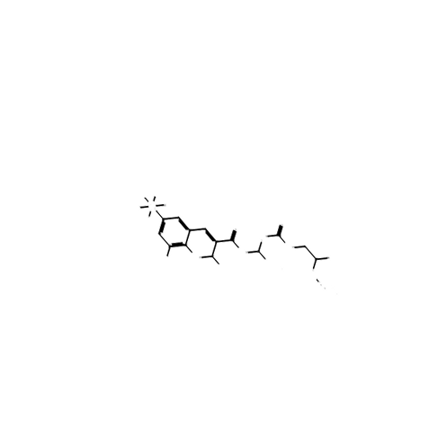 CCc1cc(S(F)(F)(F)(F)F)cc2c1OC(C(F)(F)F)C(C(=O)OC(C)OC(=O)OCC(C)O[N+](=O)[O-])=C2